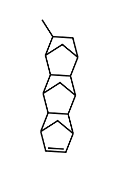 CC1CC2CC1C1C3CC(C4C5C=CC(C5)C34)C21